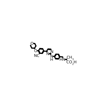 C[C@H](NCc1ccc(Nc2nccc(-c3ccc(OC4CCOCC4)c(C#N)c3)n2)cc1)C(=O)O